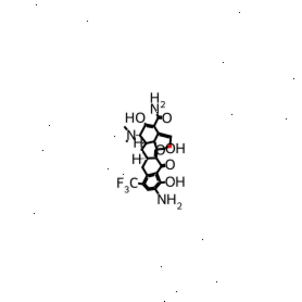 CN(C)[C@@H]1C(O)=C(C(N)=O)C2=CCO[C@@]23C(O)=C2C(=O)c4c(O)c(N)cc(C(F)(F)F)c4C[C@H]2C[C@@H]13